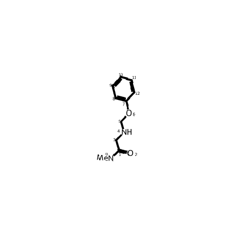 CNC(=O)CNCOc1ccccc1